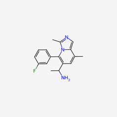 Cc1cc(C(C)N)c(-c2cccc(F)c2)n2c(C)ncc12